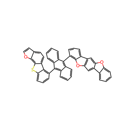 c1ccc2c(c1)oc1cc3c(cc12)oc1c(-c2c4ccccc4c(-c4cccc5sc6c(ccc7ccoc76)c45)c4ccccc24)cccc13